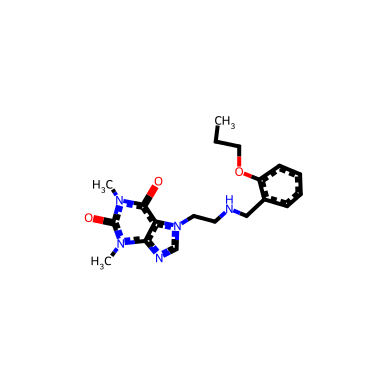 CCCOc1ccccc1CNCCn1cnc2c1c(=O)n(C)c(=O)n2C